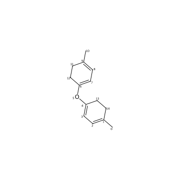 CC1=CC=C(OC2=CC=C(C)CC2)CC1